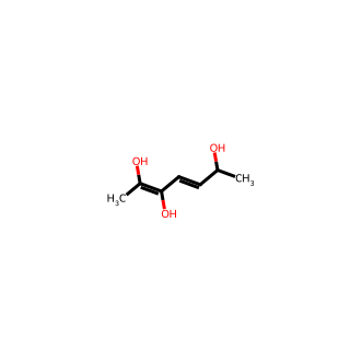 CC(O)=C(O)C=CC(C)O